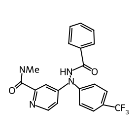 CNC(=O)c1cc(N(NC(=O)c2ccccc2)c2ccc(C(F)(F)F)cc2)ccn1